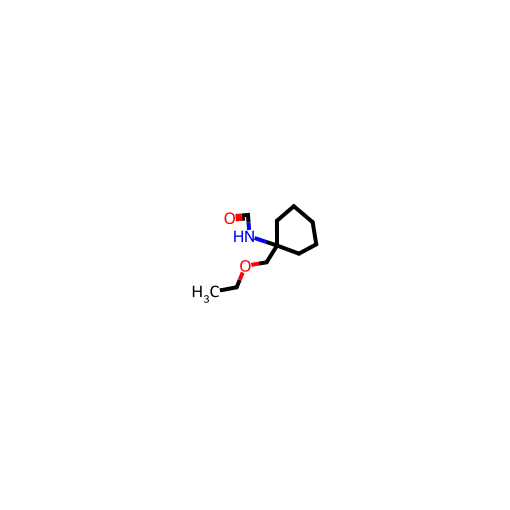 CCOCC1(NC=O)CCCCC1